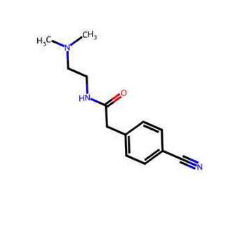 CN(C)CCNC(=O)Cc1ccc(C#N)cc1